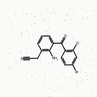 N#CCc1cccc(C(=O)c2ccc(Br)cc2Cl)c1N